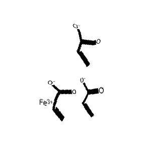 C=CC(=O)[O-].C=CC(=O)[O-].C=CC(=O)[O-].[Fe+3]